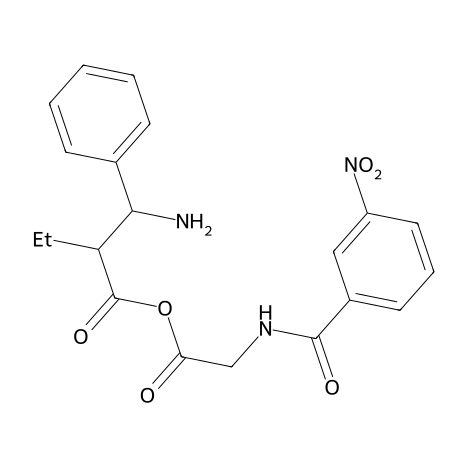 CCC(C(=O)OC(=O)CNC(=O)c1cccc([N+](=O)[O-])c1)C(N)c1ccccc1